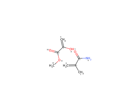 C=C(C)C(N)=O.C=C(O)C(=O)OC